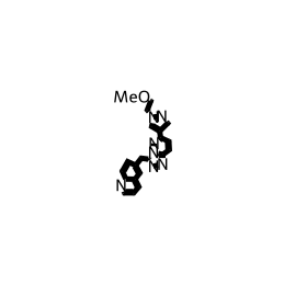 COCCn1cc(-c2ccc3nnc(Cc4ccc5ncccc5c4)n3n2)cn1